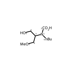 CCCCN(C(=O)O)C(CO)COC